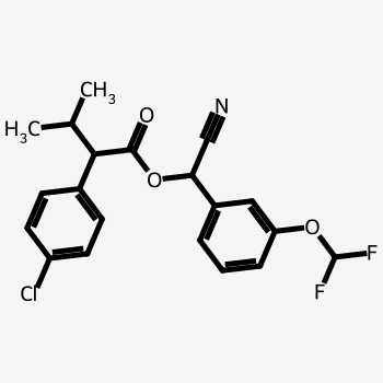 CC(C)C(C(=O)OC(C#N)c1cccc(OC(F)F)c1)c1ccc(Cl)cc1